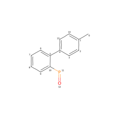 Cc1ccc(-c2ccccc2P=O)cc1